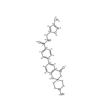 CCCN1CCC2(CC1)CC(=O)c1cc(-c3ccc(C(=O)NCc4cc(C)no4)cc3)ccc1O2